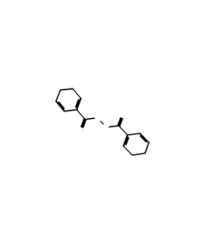 O=C(OOC(=O)C1=CCCC=C1)C1=CCCC=C1